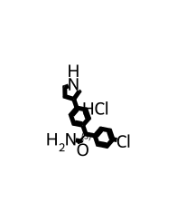 Cl.NC(=O)[C@H](c1ccc(Cl)cc1)c1ccc(C2CCNC2)cc1